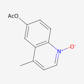 CC(=O)Oc1ccc2c(c1)c(C)cc[n+]2[O-]